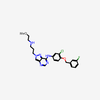 COCCNCCCn1cc2ncnc(Nc3ccc(OCc4cccc(F)c4)c(Cl)c3)c2n1